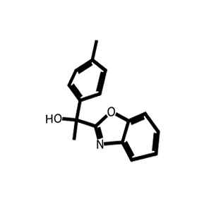 Cc1ccc(C(C)(O)c2nc3ccccc3o2)cc1